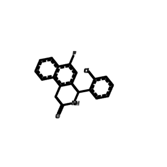 O=C1Cc2c(cc(F)c3ccccc23)C(c2ccccc2Cl)N1